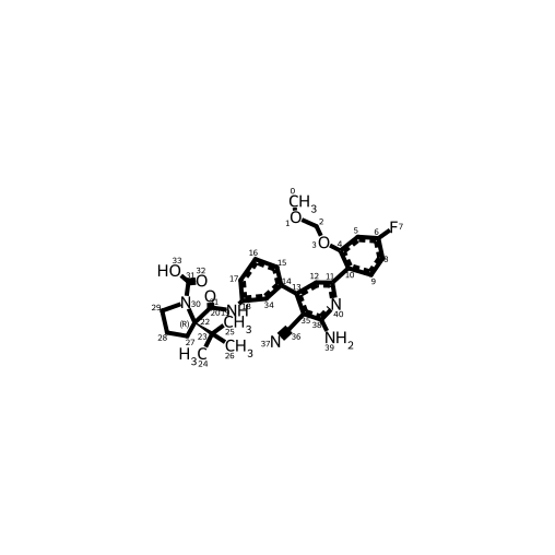 COCOc1cc(F)ccc1-c1cc(-c2cccc(NC(=O)[C@]3(C(C)(C)C)CCCN3C(=O)O)c2)c(C#N)c(N)n1